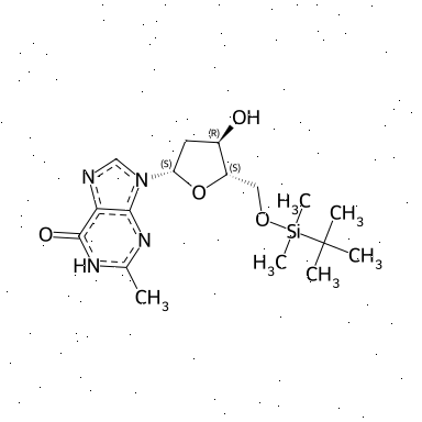 Cc1nc2c(ncn2[C@@H]2C[C@@H](O)[C@H](CO[Si](C)(C)C(C)(C)C)O2)c(=O)[nH]1